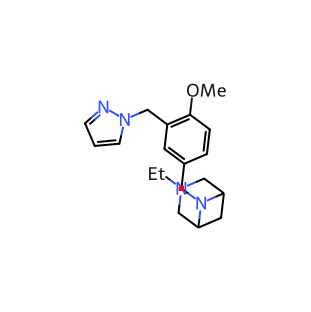 CCN1CC2CC(C1)N2Cc1ccc(OC)c(Cn2cccn2)c1